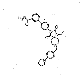 CCN1C(=O)N(c2ccc(-c3cccc(C(N)=O)c3)cc2)C(=O)C12CCN(Cc1ccc(N3CCCC3)cc1)CC2